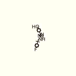 CC(C)(CNc1nc(-c2ccc(O)cc2)ns1)c1ccc(F)cc1